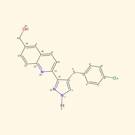 CCn1cc(Sc2ccc(Cl)cc2)c(-c2ccc3cc(CO)ccc3n2)n1